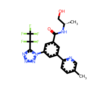 Cc1ccc(-c2cc(C(=O)N[C@@H](C)CO)cc(-n3nnnc3C(F)(F)C(F)(F)F)c2)nc1